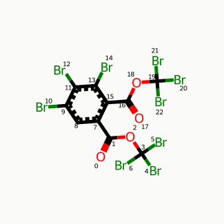 O=C(OC(Br)(Br)Br)c1cc(Br)c(Br)c(Br)c1C(=O)OC(Br)(Br)Br